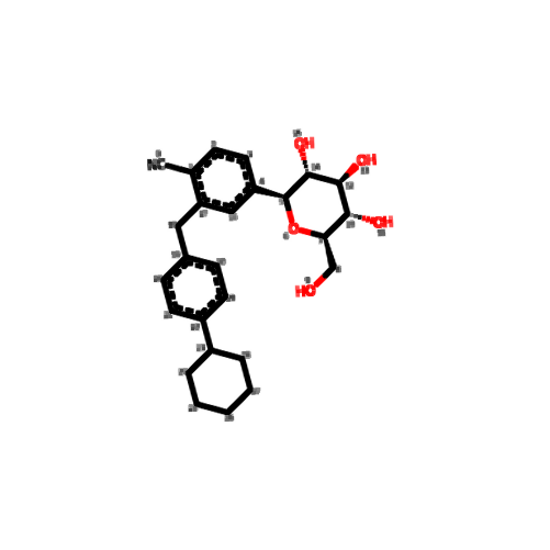 N#Cc1ccc([C@@H]2O[C@H](CO)[C@@H](O)[C@H](O)[C@H]2O)cc1Cc1ccc(C2CCCCC2)cc1